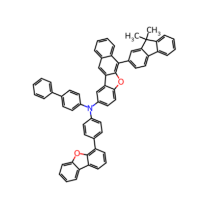 CC1(C)c2ccccc2-c2ccc(-c3c4ccccc4cc4c3oc3ccc(N(c5ccc(-c6ccccc6)cc5)c5ccc(-c6cccc7c6oc6ccccc67)cc5)cc34)cc21